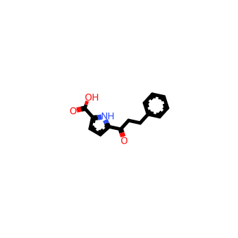 O=C(O)c1ccc(C(=O)CCc2ccccc2)[nH]1